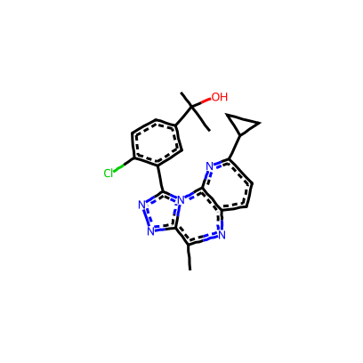 Cc1nc2ccc(C3CC3)nc2n2c(-c3cc(C(C)(C)O)ccc3Cl)nnc12